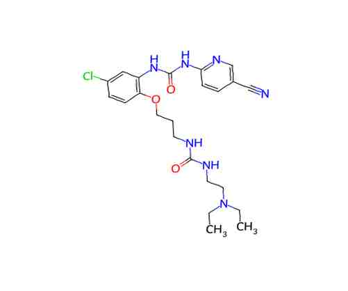 CCN(CC)CCNC(=O)NCCCOc1ccc(Cl)cc1NC(=O)Nc1ccc(C#N)cn1